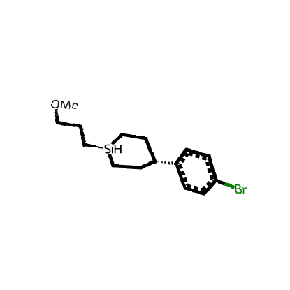 COCCC[Si@H]1CC[C@H](c2ccc(Br)cc2)CC1